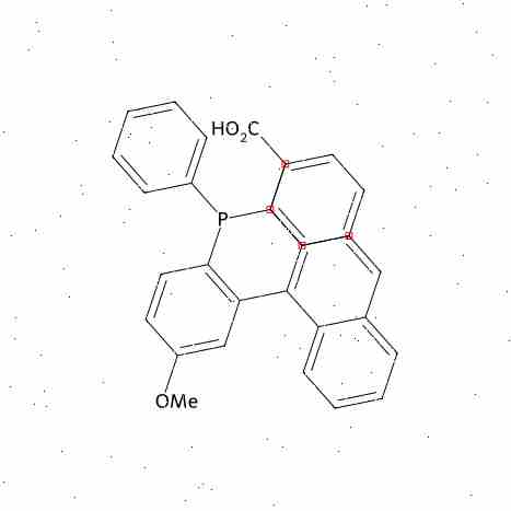 COc1ccc(P(c2ccccc2)c2ccccc2)c(-c2c(CCC(=O)O)ccc3ccccc23)c1